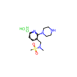 CN(Cc1cccnc1N1CCNCC1)S(C)(=O)=O.Cl.Cl